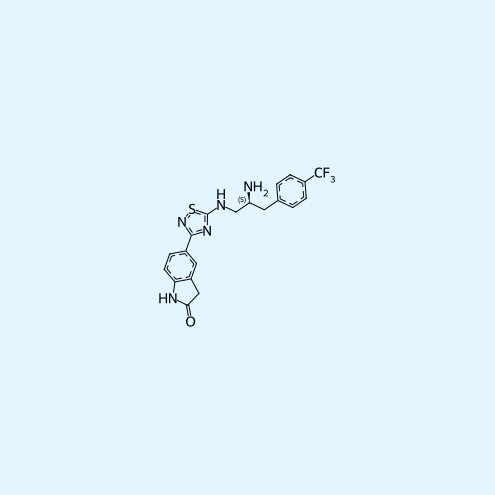 N[C@H](CNc1nc(-c2ccc3c(c2)CC(=O)N3)ns1)Cc1ccc(C(F)(F)F)cc1